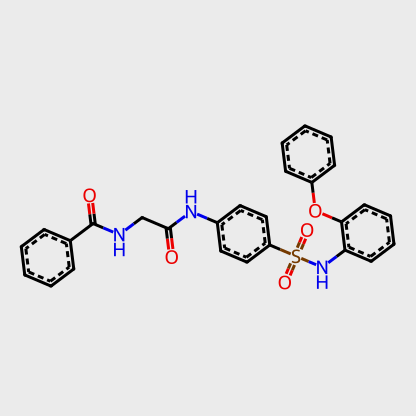 O=C(CNC(=O)c1ccccc1)Nc1ccc(S(=O)(=O)Nc2ccccc2Oc2ccccc2)cc1